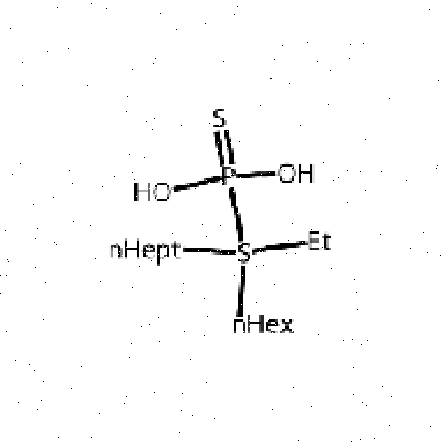 CCCCCCCS(CC)(CCCCCC)P(O)(O)=S